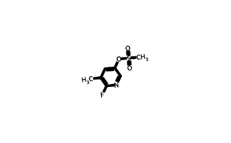 Cc1cc(OS(C)(=O)=O)cnc1F